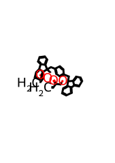 C=CC(=O)COC1(Cc2ccc(CC3(COC(=O)C=C)c4ccccc4-c4ccccc43)cc2)c2ccccc2-c2ccccc21